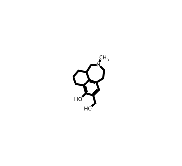 CN1CCc2cc(CO)c(O)c3c2C(CCC3)C1